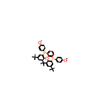 COc1ccc(P(c2ccccc2)c2cc(C(C)(C)C)cc3c2Oc2c(P(c4ccccc4)c4ccc(OC)cc4)cc(C(C)(C)C)cc2C3(C)C)cc1